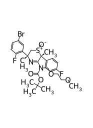 COCCOCN(C(=O)OC(C)(C)C)C1=N[C@](C)(c2cc(Br)ccc2F)C[S+]([O-])[C@]1(C)c1ccc(F)cc1